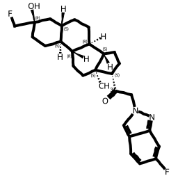 C[C@]12CC[C@H]3[C@@H](CC[C@H]4C[C@@](O)(CF)CC[C@@H]43)[C@@H]1CC[C@@H]2C(=O)Cn1cc2ccc(F)cc2n1